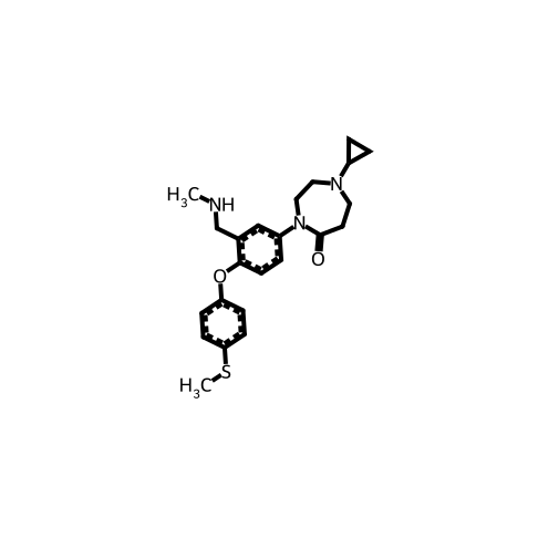 CNCc1cc(N2CCN(C3CC3)CCC2=O)ccc1Oc1ccc(SC)cc1